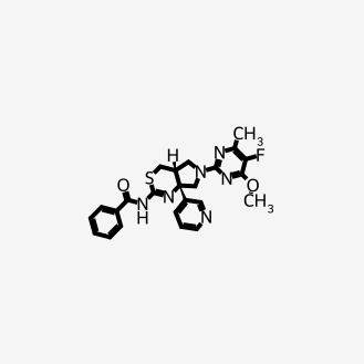 COc1nc(N2C[C@H]3CSC(NC(=O)c4ccccc4)=N[C@@]3(c3cccnc3)C2)nc(C)c1F